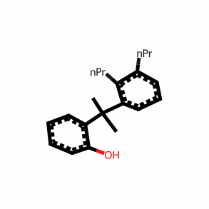 CCCc1cccc(C(C)(C)c2ccccc2O)c1CCC